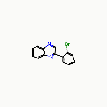 Brc1ccccc1-c1cnc2ccccc2n1